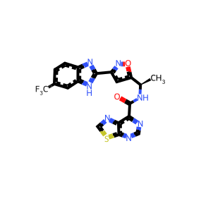 C[C@@H](NC(=O)c1ncnc2scnc12)c1cc(-c2nc3ccc(C(F)(F)F)cc3[nH]2)no1